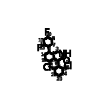 O=c1[nH]cc2c(-c3ccc(F)cc3F)cccc2c1-c1c(Cl)cccc1Cl